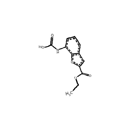 CCOC(=O)c1cc2cccc(NC(=O)O)c2o1